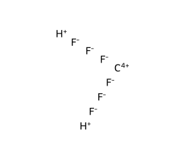 [C+4].[F-].[F-].[F-].[F-].[F-].[F-].[H+].[H+]